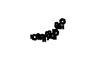 CC(C(=O)NCc1cc2cnccc2[nH]1)n1cnc2ccc(C3COC(c4ccccc4)N3)nc2c1=O